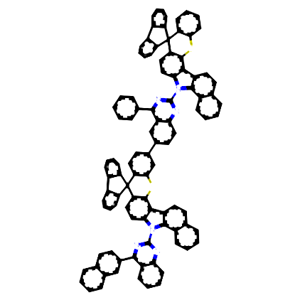 c1ccc(-c2nc(-n3c4ccc5c(c4c4ccc6ccccc6c43)Sc3ccccc3C53c4ccccc4-c4ccccc43)nc3ccc(-c4ccc5c(c4)Sc4c(ccc6c4c4ccc7ccccc7c4n6-c4nc(-c6ccc7ccccc7c6)c6ccccc6n4)C54c5ccccc5-c5ccccc54)cc23)cc1